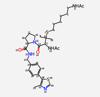 CC(=O)NCCCCCCSC(C)(C)C(NC(C)=O)C(=O)N1CCCC1C(=O)NCc1ccc(-c2scnc2C)cc1